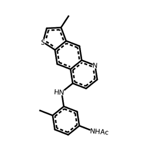 CC(=O)Nc1ccc(C)c(Nc2ccnc3cc4c(C)csc4cc23)c1